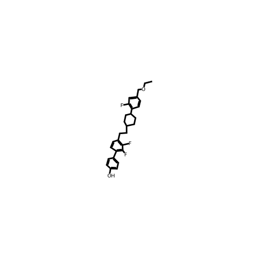 CCOCc1ccc(C2CCC(CCc3ccc(-c4ccc(O)cc4)c(F)c3F)CC2)c(F)c1